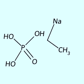 C[CH2][Na].O=P(O)(O)O